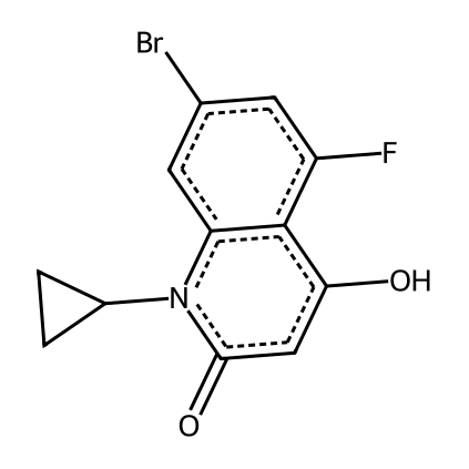 O=c1cc(O)c2c(F)cc(Br)cc2n1C1CC1